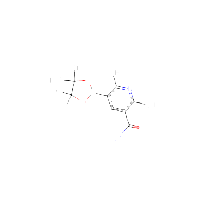 Cc1nc(C)c(C(N)=O)cc1B1OC(C)(C)C(C)(C)O1